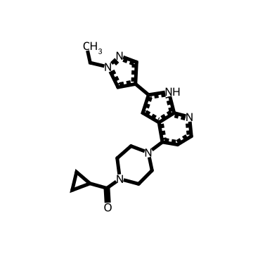 CCn1cc(-c2cc3c(N4CCN(C(=O)C5CC5)CC4)ccnc3[nH]2)cn1